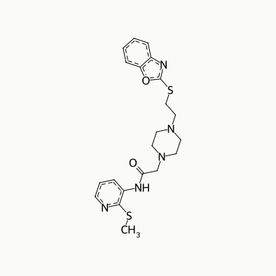 CSc1ncccc1NC(=O)CN1CCN(CCSc2nc3ccccc3o2)CC1